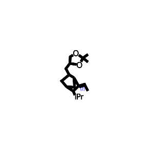 C/C=C1/C2CC(CC2CC2COC(C)(C)O2)C1C(C)C